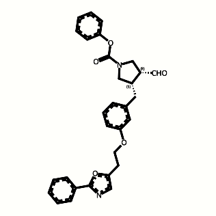 O=C[C@H]1CN(C(=O)Oc2ccccc2)C[C@H]1Cc1cccc(OCCc2cnc(-c3ccccc3)o2)c1